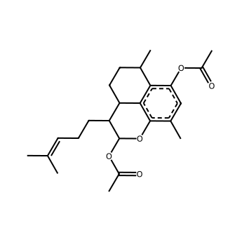 CC(=O)Oc1cc(C)c2c3c1C(C)CCC3C(CCC=C(C)C)C(OC(C)=O)O2